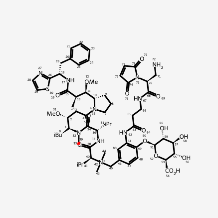 CC[C@H](C)[C@@H]([C@@H](CC(=O)N1CCC[C@H]1[C@H](OC)[C@@H](C)C(=O)N[C@@H](Cc1ccccc1)c1nccs1)OC)N(C)C(=O)[C@@H](NC(=O)[C@H](C(C)C)[N+](C)(C)Cc1ccc(O[C@@H]2O[C@H](C(=O)O)[C@@H](O)[C@H](O)[C@H]2O)c(NC(=O)CCNC(=O)[C@H](CN)N2C(=O)C=CC2=O)c1)C(C)C